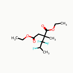 CCOC(=O)CC(C)(C(=O)OCC)C(F)(F)C(C)F